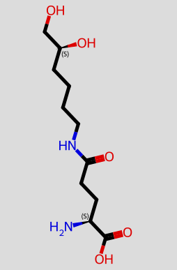 N[C@@H](CCC(=O)NCCCC[C@H](O)CO)C(=O)O